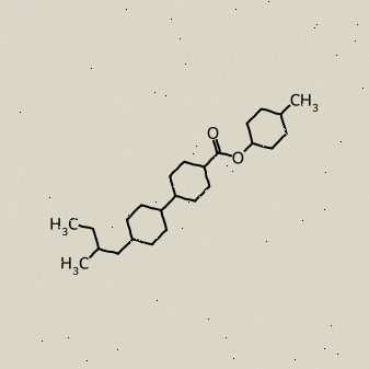 CCC(C)CC1CCC(C2CCC(C(=O)OC3CCC(C)CC3)CC2)CC1